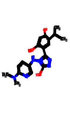 CC(C)c1cc(-c2nnc(O)n2Nc2ccc(N(C)C)nc2)c(O)cc1O